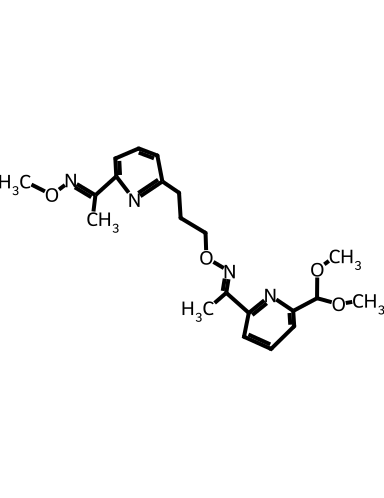 CO/N=C(\C)c1cccc(CCCO/N=C(\C)c2cccc(C(OC)OC)n2)n1